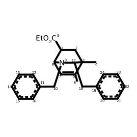 CCOC(=O)C1CC2(C)C(C)=CC1N(Cc1ccccc1)C2Cc1ccccc1